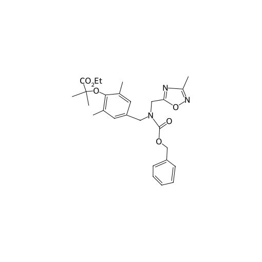 CCOC(=O)C(C)(C)Oc1c(C)cc(CN(Cc2nc(C)no2)C(=O)OCc2ccccc2)cc1C